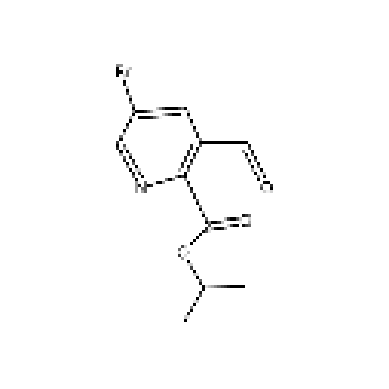 CC(C)OC(=O)c1ncc(Br)cc1C=O